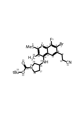 CSc1nc2c(F)c(Br)c(CCC#N)cc2c(NC2CCN(C(=O)OC(C)(C)C)C2)c1C